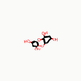 Oc1cc(O)cc(Oc2c(O)cc(O)cc2O)c1